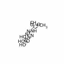 COc1ccc(CNc2ncnc3c2ncn3C2O[C@H](CO)[C@@H](O)[C@H]2O)c(OC)c1